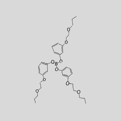 CCCOCCOc1cccc(OB(Oc2cccc(OCCOCCC)c2)Oc2cccc(OCCOCCC)c2)c1